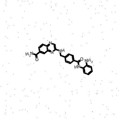 NC(=O)c1ccc2ncc(NCc3ccc(C(=O)Nc4ccccc4N)cc3)nc2c1